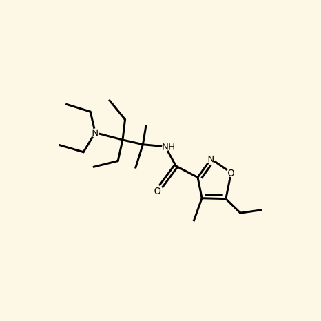 CCc1onc(C(=O)NC(C)(C)C(CC)(CC)N(CC)CC)c1C